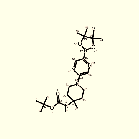 CC1(NC(=O)OC(C)(C)C)CCN(c2cnc(B3OC(C)(C)C(C)(C)O3)cn2)CC1